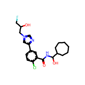 O=C(NC(O)C1CCCCCC1)c1cc(-c2cn(CC(O)CF)cn2)ccc1Cl